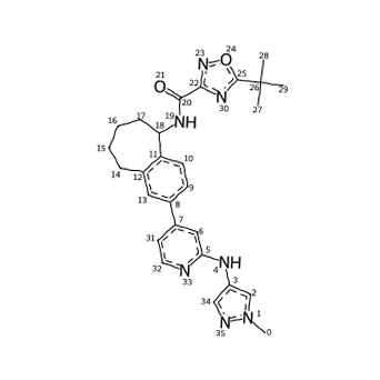 Cn1cc(Nc2cc(-c3ccc4c(c3)CCCCC4NC(=O)c3noc(C(C)(C)C)n3)ccn2)cn1